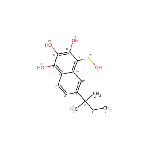 CCC(C)(C)c1ccc2c(O)c(O)c(O)c(SO)c2c1